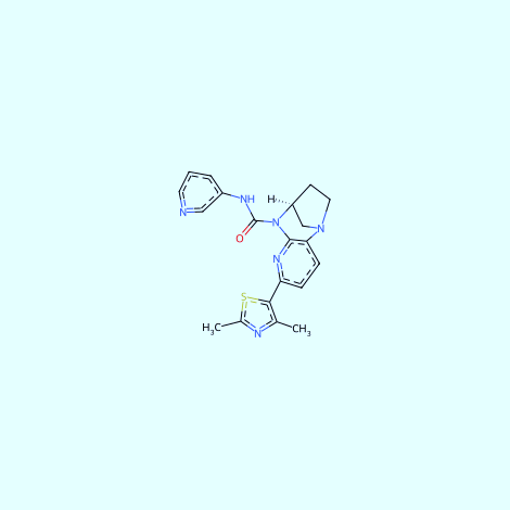 Cc1nc(C)c(-c2ccc3c(n2)N(C(=O)Nc2cccnc2)[C@H]2CCN3C2)s1